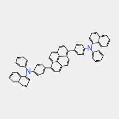 c1ccc(N(c2ccc(-c3ccc4ccc5c(-c6ccc(N(c7ccccc7)c7cccc8ccccc78)cc6)ccc6ccc3c4c65)cc2)c2cccc3ccccc23)cc1